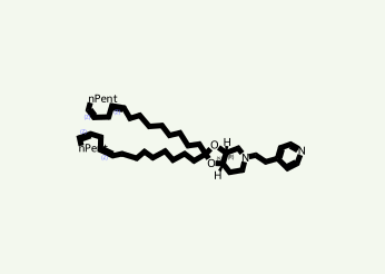 CCCCC/C=C\C/C=C\CCCCCCCCC1(CCCCCCCC/C=C\C/C=C\CCCCC)O[C@H]2CCN(CCc3ccncc3)C[C@H]2O1